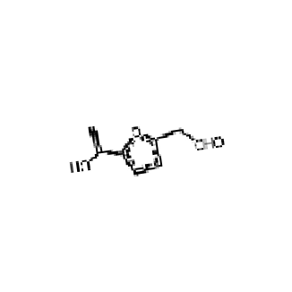 C=C(O)c1ccc(CC=O)o1